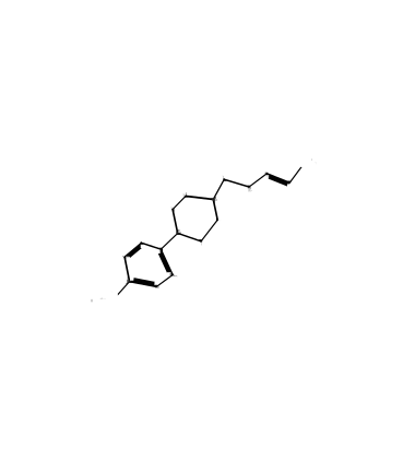 CCCCCc1ccc(C2CCC(CCC=CC#N)CC2)cc1